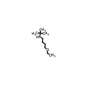 CCOCCCCNC(C)(C)C